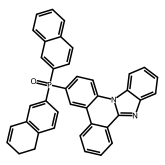 O=P(c1ccc2c(c1)C=CCC2)(c1ccc2ccccc2c1)c1ccc2c(c1)c1ccccc1c1nc3ccccc3n21